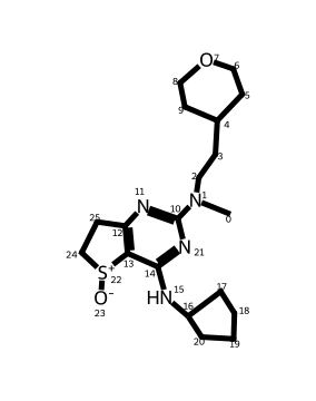 CN(CCC1CCOCC1)c1nc2c(c(NC3CCCC3)n1)[S+]([O-])CC2